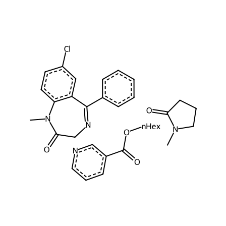 CCCCCCOC(=O)c1cccnc1.CN1C(=O)CN=C(c2ccccc2)c2cc(Cl)ccc21.CN1CCCC1=O